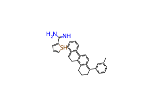 Cc1cccc(C2=c3ccc4c(c3CCC2)CC=c2c([SH]3C=CC=C3C(=N)N)cccc2=4)c1